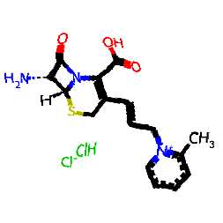 Cc1cccc[n+]1CC=CC1=C(C(=O)O)N2C(=O)[C@@H](N)[C@H]2SC1.Cl.[Cl-]